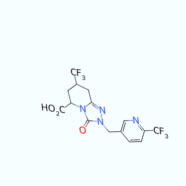 O=C(O)C1CC(C(F)(F)F)Cc2nn(Cc3ccc(C(F)(F)F)nc3)c(=O)n21